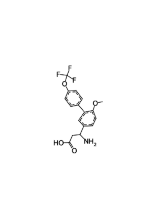 COc1ccc(C(N)CC(=O)O)cc1-c1ccc(OC(F)(F)F)cc1